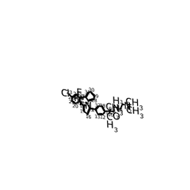 CN(C)CCNC(=O)C(C)(C)c1ccc(-c2ccc(-c3ccc(Cl)cc3)n2-c2ccccc2C(F)(F)F)cc1